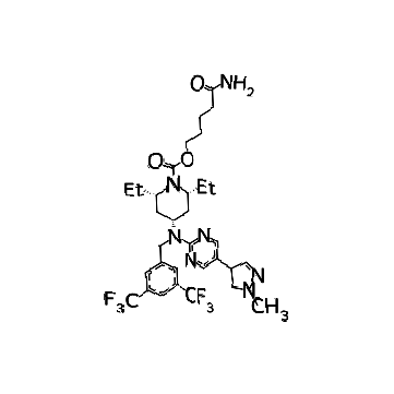 CC[C@@H]1C[C@H](N(Cc2cc(C(F)(F)F)cc(C(F)(F)F)c2)c2ncc(C3C=NN(C)C3)cn2)C[C@H](CC)N1C(=O)OCCCCC(N)=O